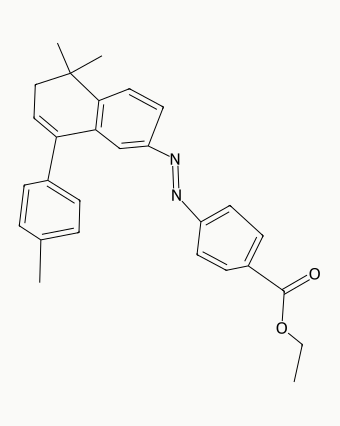 CCOC(=O)c1ccc(N=Nc2ccc3c(c2)C(c2ccc(C)cc2)=CCC3(C)C)cc1